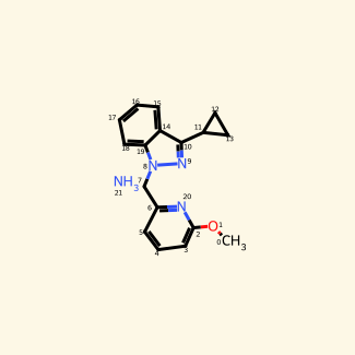 COc1cccc(Cn2nc(C3CC3)c3ccccc32)n1.N